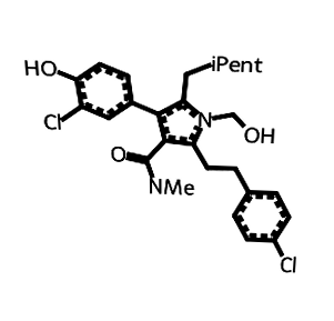 CCCC(C)Cc1c(-c2ccc(O)c(Cl)c2)c(C(=O)NC)c(CCc2ccc(Cl)cc2)n1CO